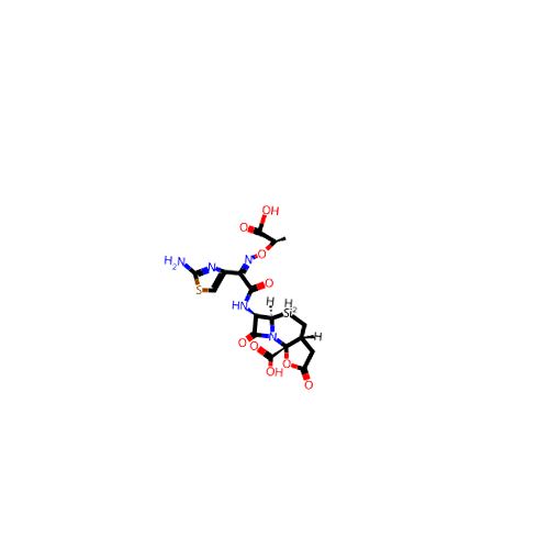 C[C@@H](O/N=C(\C(=O)N[C@@H]1C(=O)N2[C@@H]1[SiH2]C[C@@H]1CC(=O)O[C@@]12C(=O)O)c1csc(N)n1)C(=O)O